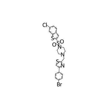 O=S(=O)(c1cc2ccc(Cl)cc2s1)N1CCN(Cc2nc(-c3ccc(Br)cc3)cs2)CC1